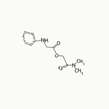 CN(C)C(=O)COC(=O)CNc1ccccc1